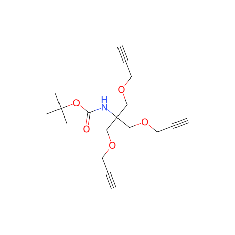 C#CCOCC(COCC#C)(COCC#C)NC(=O)OC(C)(C)C